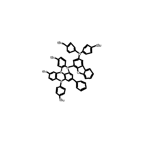 CC(C)(C)c1ccc(N(c2ccc(C(C)(C)C)cc2)c2cc(N3c4ccc(C(C)(C)C)cc4B4c5cc(C(C)(C)C)ccc5N(c5ccc(C(C)(C)C)cc5)c5cc(-c6ccccc6)cc3c54)c3oc4ccccc4c3c2)cc1